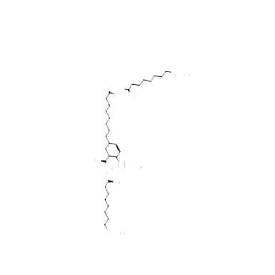 CCCCCCCCCCCCCCCCCC(=O)OOC(=O)CCCCCCCC1C=CC(CCCCCC)C(C(=O)OOC(=O)CCCCCCCCCCCCCCCCC)C1